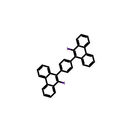 Ic1c(-c2ccc(-c3c(I)c4ccccc4c4ccccc34)cc2)c2ccccc2c2ccccc12